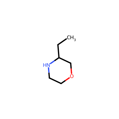 CCC1COCCN1